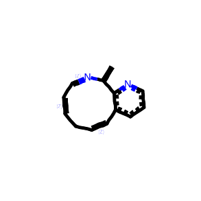 C=C1/N=C\C=C/C/C=C\c2cccnc21